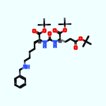 CC(C)(C)OC(=O)CC[C@H](NC(=O)N[C@@H](CCCCCNCc1ccccc1)C(=O)OC(C)(C)C)C(=O)OC(C)(C)C